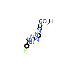 CCc1nc2ccc(N3CC4CN(C(=O)O)CC4C3)nn2c1N(C)c1nc(-c2ccc(F)cc2)cs1